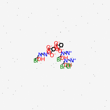 C[N+](C)(C)CC[N+](C)(C)CC(O)CBr.C[N+](C)(C)CC[N+](C)(C)CC(O)CBr.C[N+](C)(C)CC[N+](C)(C)CC(O)CBr.O=C([O-])c1ccccc1C(=O)[O-].O=C([O-])c1ccccc1C(=O)[O-].[Cl-].[Cl-]